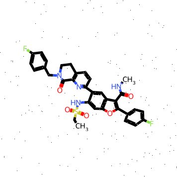 CCS(=O)(=O)Nc1cc2oc(-c3ccc(F)cc3)c(C(=O)NC)c2cc1-c1ccc2c(n1)C(=O)N(Cc1ccc(F)cc1)CC2